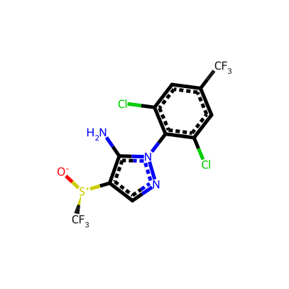 Nc1c([S@+]([O-])C(F)(F)F)cnn1-c1c(Cl)cc(C(F)(F)F)cc1Cl